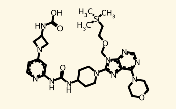 C[Si](C)(C)CCOCn1c(N2CCC(NC(=O)Nc3cc(N4CC(NC(=O)O)C4)ccn3)CC2)nc2c(N3CCOCC3)ncnc21